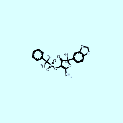 [2H]C([2H])(c1ccccc1)S(=O)(=O)OC1=C(N)O[C@@]([2H])(c2ccc3c(c2)OCO3)C1=O